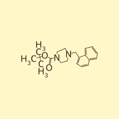 CC(C)(C)OC(=O)N1CCN(Cc2cccc3ccccc23)CC1